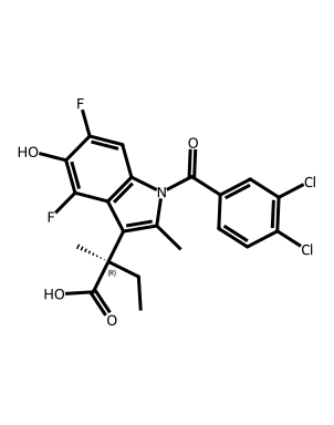 CC[C@@](C)(C(=O)O)c1c(C)n(C(=O)c2ccc(Cl)c(Cl)c2)c2cc(F)c(O)c(F)c12